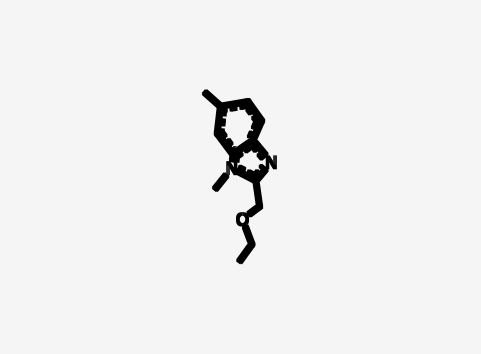 CCOCc1nc2ccc(C)cc2n1C